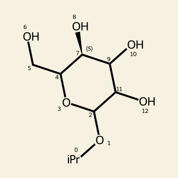 CC(C)OC1OC(CO)[C@@H](O)C(O)C1O